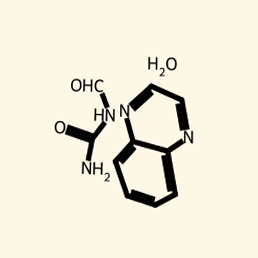 NC(=O)NC=O.O.c1ccc2nccnc2c1